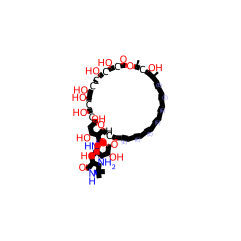 C[C@H]1C[C@H](O)[C@@H](C)/C=C/C=C/C=C/C=C/C=C/C=C/C=C/C(O[C@@H]2OC[C@@H](O)[C@H](N)[C@@H]2O)C[C@@H]2OC(O)(CC(O)C[C@@H](O)[C@H](O)CCC(O)CC(O)CC(=O)O1)C[C@H](O)C2C(=O)NCCC1CC(C)(C)NC1=O